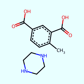 C1CNCCN1.Cc1ccc(C(=O)O)cc1C(=O)O